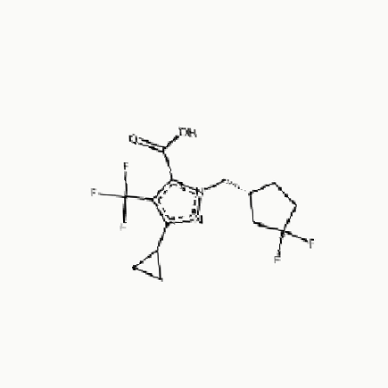 O=C(O)c1c(C(F)(F)F)c(C2CC2)nn1C[C@@H]1CCC(F)(F)C1